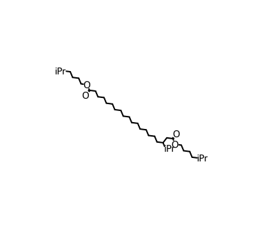 CC(C)CCCCOC(=O)CCCCCCCCCCCCCCCCC(CC(=O)OCCCCC(C)C)C(C)C